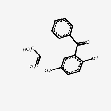 C=CC(=O)O.O=C(c1ccccc1)c1cc([N+](=O)[O-])ccc1O